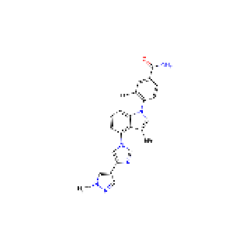 CCCc1cn(-c2ccc(C(N)=O)cc2CC)c2cccc(-n3cnc(-c4cnn(C)c4)c3)c12